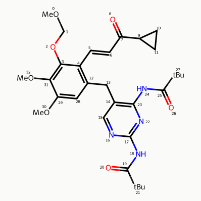 COCOc1c(C=CC(=O)C2CC2)c(Cc2cnc(NC(=O)C(C)(C)C)nc2NC(=O)C(C)(C)C)cc(OC)c1OC